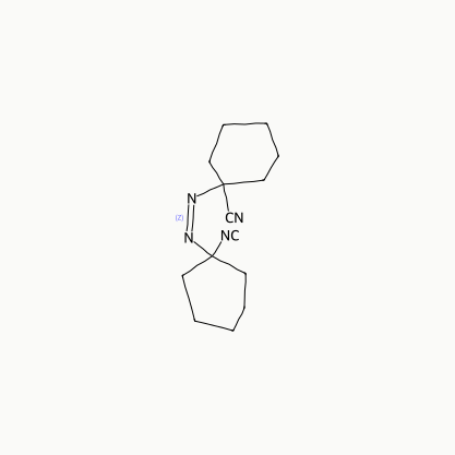 [C-]#[N+]C1(/N=N\C2(C#N)CCCCC2)CCCCC1